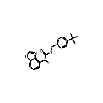 CC(C(=O)NCc1ccc(C(C)(C)C)cc1)c1cccc2ocnc12